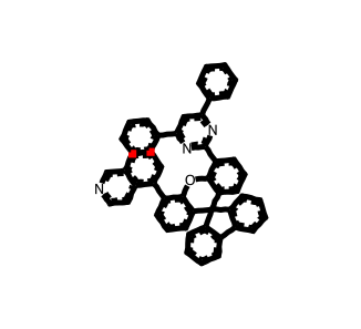 c1ccc(-c2cc(-c3ccccc3)nc(-c3cccc4c3Oc3c(-c5cccc6cnccc56)cccc3C43c4ccccc4-c4ccccc43)n2)cc1